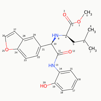 COC(=O)[C@@H](CC(C)C)N[C@@H](C(=O)Nc1ccccc1O)c1ccc2occc2c1